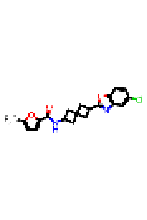 O=C(NC1CC2(C1)CC(c1nc3cc(Cl)ccc3o1)C2)c1ccc(C(F)(F)F)o1